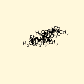 C=C(C)C(=O)NC(CC)CC1CC1(CC)NC(=O)C1OC(C)(C)OC1C1OC(C)(C)OC1C(=O)NC(CC)CC1CC1(CC)NC(=O)C(=C)C